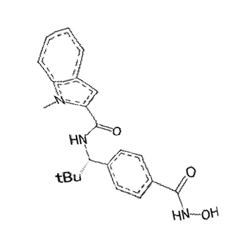 Cn1c(C(=O)N[C@H](c2ccc(C(=O)NO)cc2)C(C)(C)C)cc2ccccc21